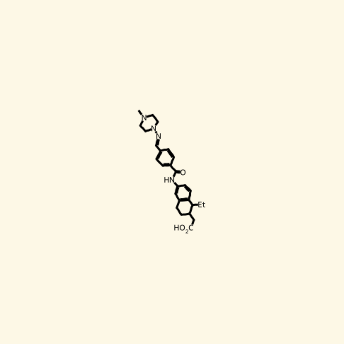 CCC1c2ccc(NC(=O)c3ccc(C=NN4CCN(C)CC4)cc3)cc2CCC1CC(=O)O